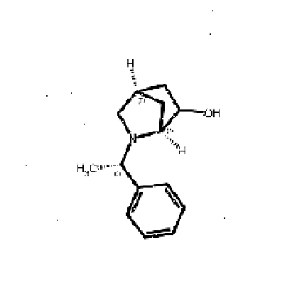 C[C@@H](c1ccccc1)N1C[C@H]2CC(O)[C@@H]1C2